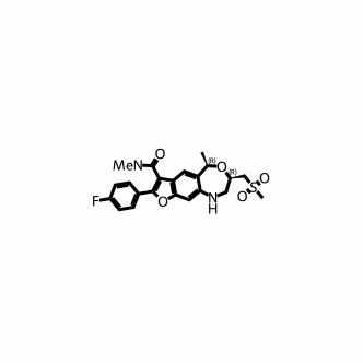 CNC(=O)c1c(-c2ccc(F)cc2)oc2cc3c(cc12)[C@@H](C)O[C@@H](CS(C)(=O)=O)CN3